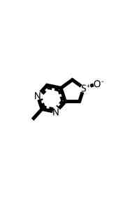 Cc1ncc2c(n1)C[S+]([O-])C2